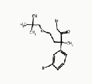 CC(C)(C#N)COCCC(C)(C(=O)CBr)c1cccc(Br)c1